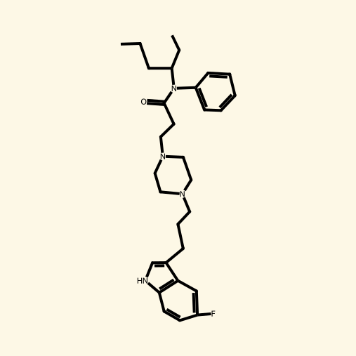 CCCC(CC)N(C(=O)CCN1CCN(CCCc2c[nH]c3ccc(F)cc23)CC1)c1ccccc1